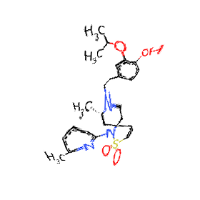 Cc1cccc(N2[C@]3(C=CS2(=O)=O)CCN(Cc2ccc(O)c(OC(C)C)c2)[C@@H](C)C3)n1